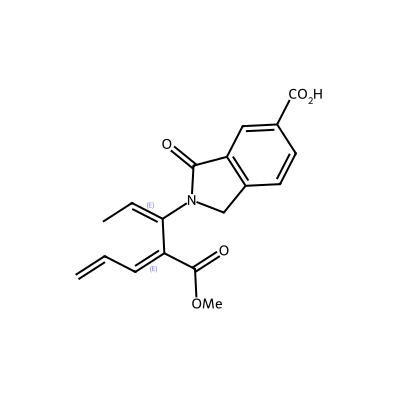 C=C/C=C(C(=O)OC)\C(=C/C)N1Cc2ccc(C(=O)O)cc2C1=O